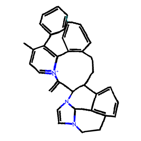 C=C1C2C(CCc3ccc(F)cc3-c3c(-c4ccccc4)c(C)cc[n+]31)c1cccc3c1C1N(C=CN21)CC3